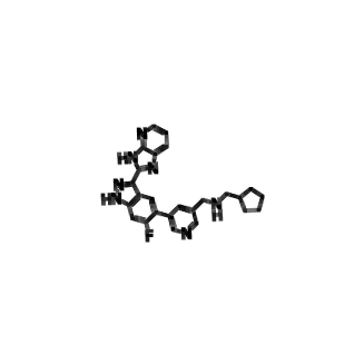 Fc1cc2[nH]nc(-c3nc4cccnc4[nH]3)c2cc1-c1cncc(CNCC2CCCC2)c1